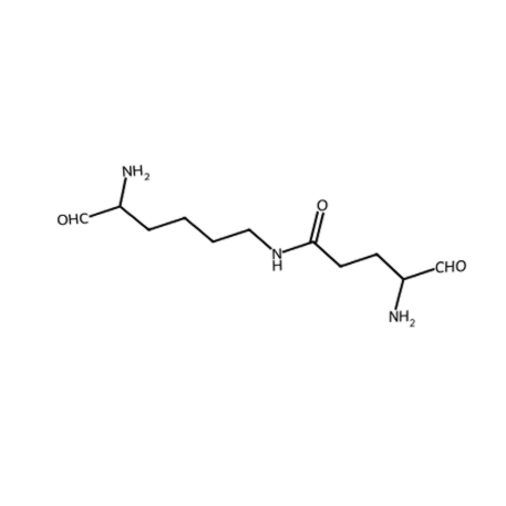 NC(C=O)CCCCNC(=O)CCC(N)C=O